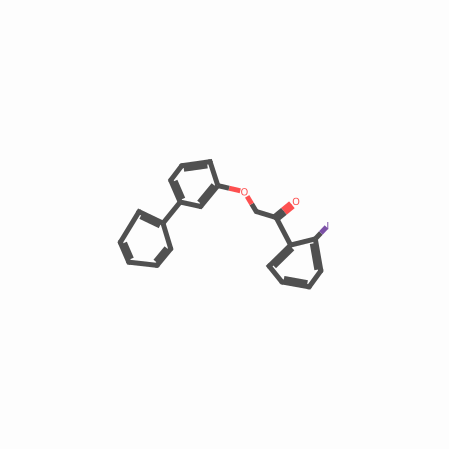 O=C(COc1cccc(-c2ccccc2)c1)c1ccccc1I